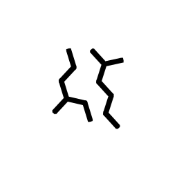 CCCC(C)CC.CCCCC(C)C